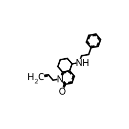 C=CCn1c2c(ccc1=O)C(NCCc1ccccc1)CCC2